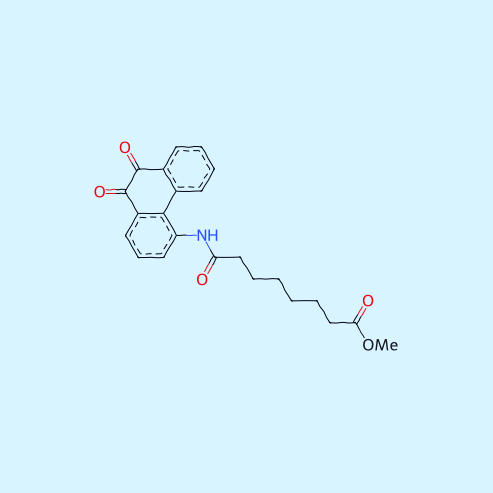 COC(=O)CCCCCCC(=O)Nc1cccc2c1-c1ccccc1C(=O)C2=O